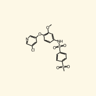 COc1cc(NS(=O)(=O)c2ccc(S(C)(=O)=O)cc2)ccc1Oc1cncc(Cl)c1